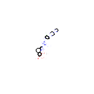 COc1cc2c(c(OC)c1OC)-c1nnc(-n3nc(Nc4ccc(N5CCC(N6CCCC6)CC5)c(F)c4)nc3N)cc1CCC2